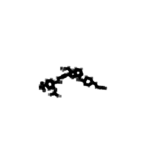 COCCN1CCC(Nc2cccc3c(CC(F)(F)F)c(C#CCNc4ccc(S(C)(=O)=O)cc4OC(F)F)sc23)CC1